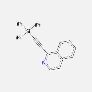 CC(C)[Si](C#Cc1nccc2ccccc12)(C(C)C)C(C)C